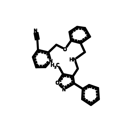 Cc1onc(-c2ccccc2)c1CNCc1ccccc1OCc1ncccc1C#N